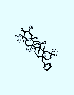 CC1(C)CC[C@]2(Cn3cccn3)CC[C@]3(C)[C@H](C(=O)C=C4[C@@]5(C)C=C(C#N)C(=O)C(C)(C)[C@@H]5CC[C@]43C)[C@@H]2C1